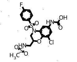 CS(=O)(=O)NCC1CN(S(=O)(=O)c2ccc(F)cc2)c2cc(NC(=O)O)cc(Cl)c2O1